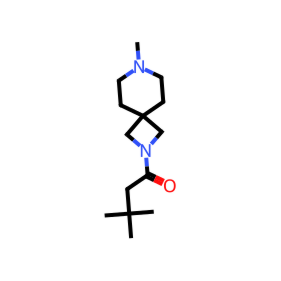 CN1CCC2(CC1)CN(C(=O)CC(C)(C)C)C2